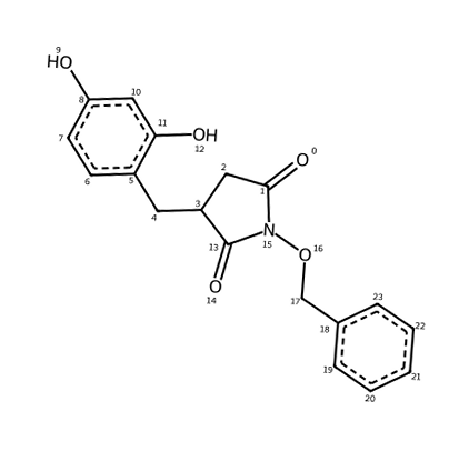 O=C1CC(Cc2ccc(O)cc2O)C(=O)N1OCc1ccccc1